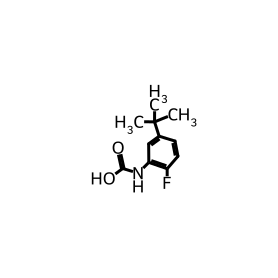 CC(C)(C)c1ccc(F)c(NC(=O)O)c1